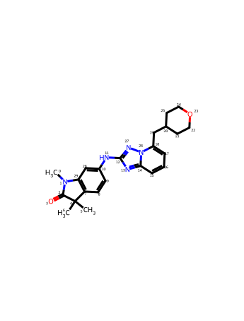 CN1C(=O)C(C)(C)c2ccc(Nc3nc4cccc(CC5CCOCC5)n4n3)cc21